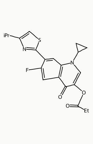 CCC(=O)Oc1cn(C2CC2)c2cc(-c3nc(C(C)C)cs3)c(F)cc2c1=O